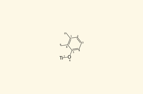 Cc1cccc([O][Ti])c1C